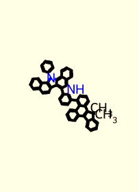 CC1(C)c2ccccc2-c2c1c1cccc(-c3cccc4c3[nH]c3c5ccccc5c5c(c6ccc7ccccc7c6n5-c5ccccc5)c43)c1c1ccccc21